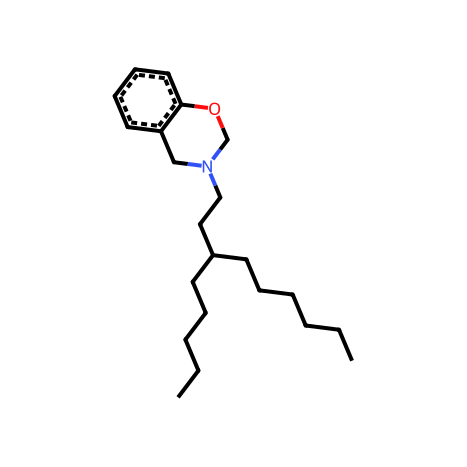 CCCCCCC(CCCCC)CCN1COc2ccccc2C1